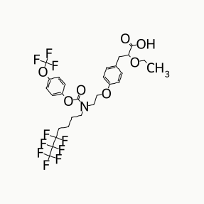 CCOC(Cc1ccc(OCCN(CCCCC(F)(F)C(F)(F)C(F)(F)F)C(=O)Oc2ccc(OC(F)(F)F)cc2)cc1)C(=O)O